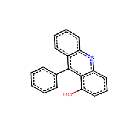 Oc1cccc2nc3ccccc3c(-c3ccccc3)c12